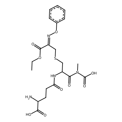 CCOC(=O)/C(CSCC(NC(=O)CCC(N)C(=O)O)C(=O)N(C)C(=O)O)=N/Oc1ccccc1